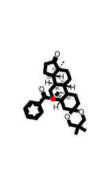 CC1(C)COC2(CC[C@@]3(COC(=O)c4ccccc4)[C@H](CC[C@@H]4[C@@H]3CC[C@]3(C)C(=O)CC[C@@H]43)C2)OC1